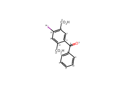 O=C(O)c1cc(C(=O)c2ccccc2)c(C(=O)O)cc1I